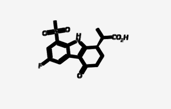 CC(C(=O)O)[C@H]1CCC(=O)c2c1[nH]c1c(S(C)(=O)=O)cc(F)cc21